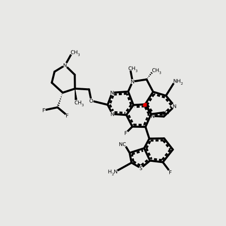 C[C@H](c1cncnc1N)N(C)c1nc(OC[C@@]2(C)CN(C)CC[C@H]2C(F)F)nc2c(F)c(-c3ccc(F)c4sc(N)c(C#N)c34)c(Cl)cc12